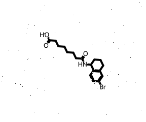 O=C(O)CCCCCCC(=O)NC1CCCc2cc(Br)ccc21